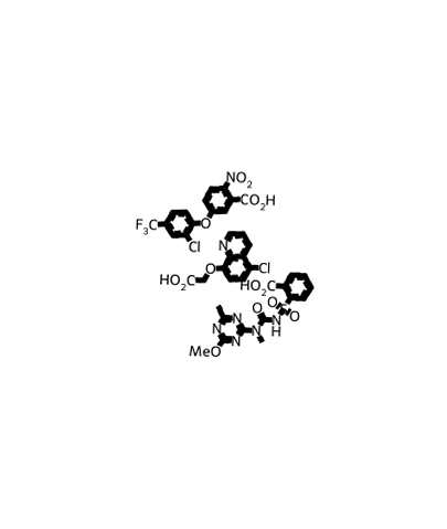 COc1nc(C)nc(N(C)C(=O)NS(=O)(=O)c2ccccc2C(=O)O)n1.O=C(O)COc1ccc(Cl)c2cccnc12.O=C(O)c1cc(Oc2ccc(C(F)(F)F)cc2Cl)ccc1[N+](=O)[O-]